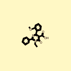 CCn1c(-c2ccccc2)nc(-c2ccccc2OC)c(C(=O)O)c1=O